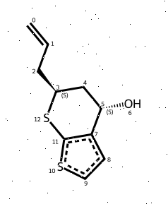 C=CC[C@H]1C[C@H](O)c2ccsc2S1